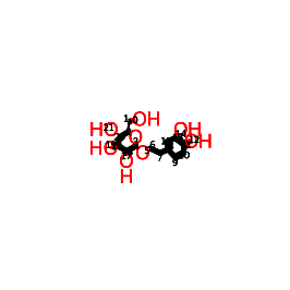 OC[C@H]1OC(OCCc2ccc(O)c(O)c2)[C@H](O)[C@@H](O)[C@@H]1O